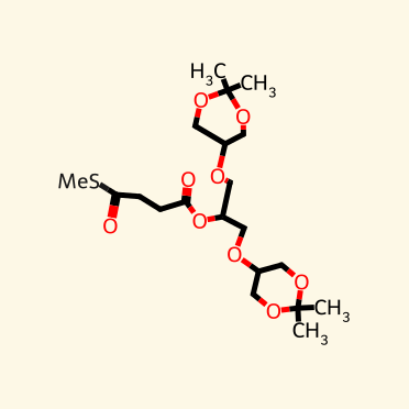 CSC(=O)CCC(=O)OC(COC1COC(C)(C)OC1)COC1COC(C)(C)OC1